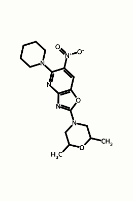 CC1CN(c2nc3nc(N4CCCCC4)c([N+](=O)[O-])cc3o2)CC(C)O1